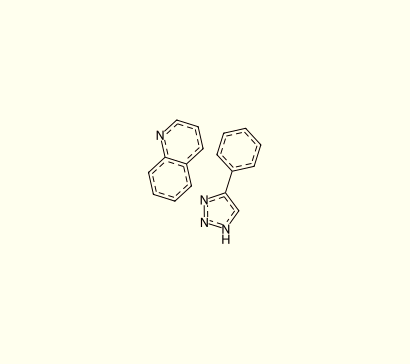 c1ccc(-c2c[nH]nn2)cc1.c1ccc2ncccc2c1